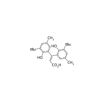 Cc1cc(C(=CC(=O)O)c2cc(C)cc(C(C)(C)C)c2O)c(O)c(C(C)(C)C)c1